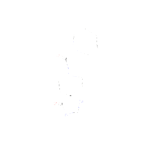 O=C(N1CCCCC1)N1CCC2(CC1)NCNC2=O